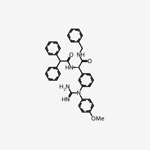 COc1ccc(N(C(=N)N)c2cccc([C@@H](NC(=O)C(c3ccccc3)c3ccccc3)C(=O)NCc3ccccc3)c2)cc1